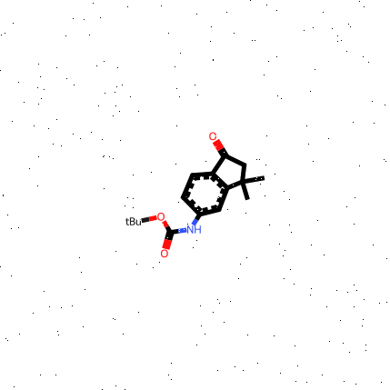 CC(C)(C)OC(=O)Nc1ccc2c(c1)C(C)(C)CC2=O